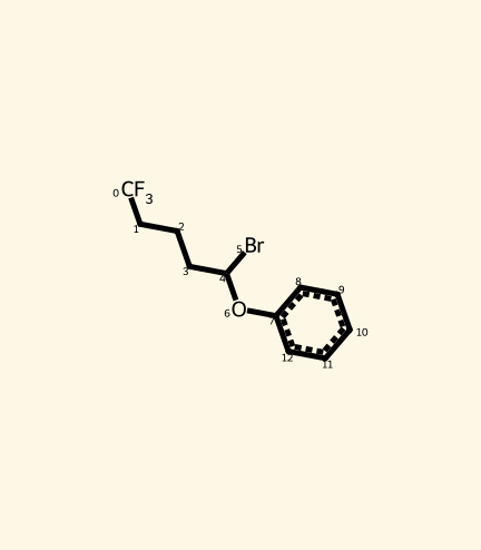 FC(F)(F)CCCC(Br)Oc1ccccc1